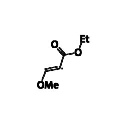 CCOC(=O)/[C]=C/OC